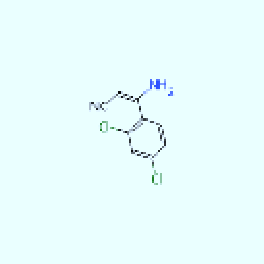 N#C/C=C(/N)c1ccc(Cl)cc1Cl